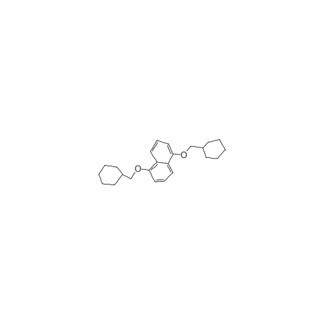 c1cc(OCC2CCCCC2)c2cccc(OCC3CCCCC3)c2c1